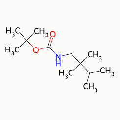 CC(C)C(C)(C)CNC(=O)OC(C)(C)C